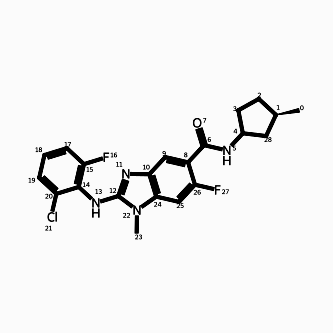 C[C@@H]1CCC(NC(=O)c2cc3nc(Nc4c(F)cccc4Cl)n(C)c3cc2F)C1